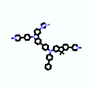 C[n+]1ccc(-c2ccc(-n3c4ccc(-c5ccc(N(c6ccc(-c7ccccc7)cc6)c6ccc7c(c6)C(C)(C)c6cc(-c8cc[n+](C)cc8)ccc6-7)cc5)cc4c4cc(-n5cc[n+](C)c5)ccc43)cc2)cc1